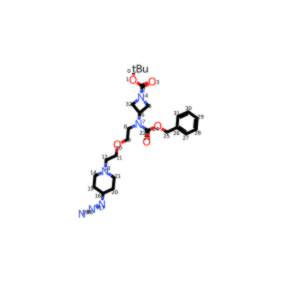 CC(C)(C)OC(=O)N1CC(N(CCOCCN2CCC(N=[N+]=[N-])CC2)C(=O)OCc2ccccc2)C1